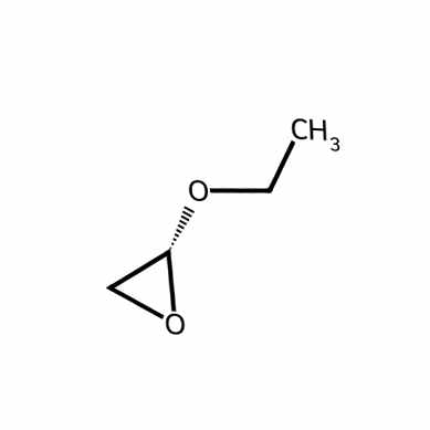 CCO[C@H]1CO1